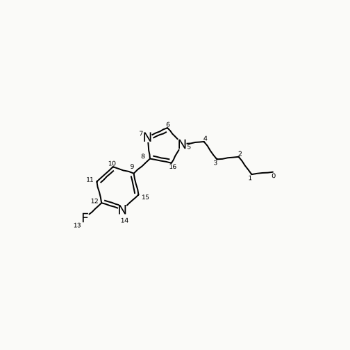 CCCCCn1cnc(-c2ccc(F)nc2)c1